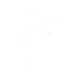 CC(=O)O[Si](Cc1ccccc1OC(C)(C)C)(OC(C)=O)OC(C)=O